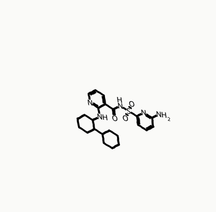 Nc1cccc(S(=O)(=O)NC(=O)c2cccnc2NC2CCCCC2C2CCCCC2)n1